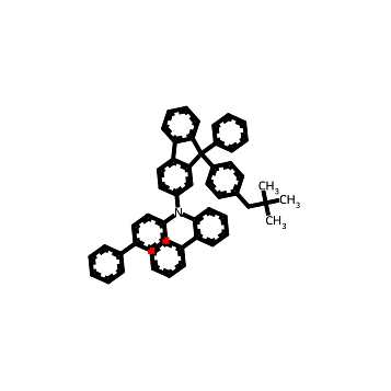 CC(C)(C)Cc1ccc(C2(c3ccccc3)c3ccccc3-c3ccc(N(c4ccc(-c5ccccc5)cc4)c4ccccc4-c4ccccc4)cc32)cc1